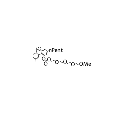 CCCCCc1cc(OC(=O)OCCOCCOCCOCCOC)c2c(c1)OC(C)(C)C1CCC(C)=CC21